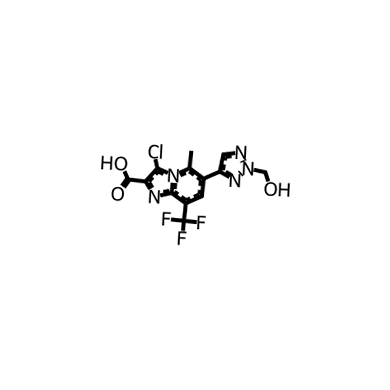 Cc1c(-c2cnn(CO)n2)cc(C(F)(F)F)c2nc(C(=O)O)c(Cl)n12